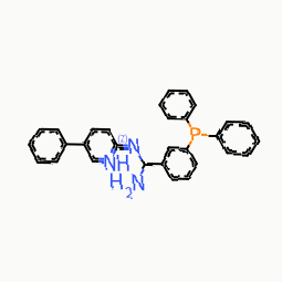 NC(/N=c1/ccc(-c2ccccc2)c[nH]1)c1cccc(P(c2ccccc2)c2ccccc2)c1